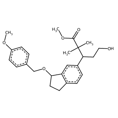 COC(=O)C(C)(C)C(CCO)c1ccc2c(c1)C(OCc1ccc(OC)cc1)CC2